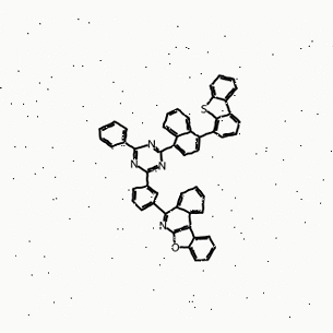 c1ccc(-c2nc(-c3cccc(-c4nc5oc6ccccc6c5c5ccccc45)c3)nc(-c3ccc(-c4cccc5c4sc4ccccc45)c4ccccc34)n2)cc1